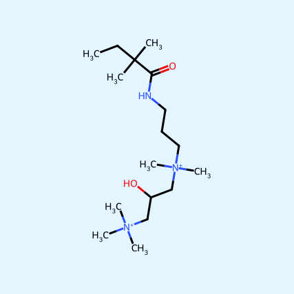 CCC(C)(C)C(=O)NCCC[N+](C)(C)CC(O)C[N+](C)(C)C